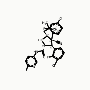 CC(C)(C)C[C@@H]1N[C@@H](C(=O)Nc2ccc(I)nc2)[C@H](c2cccc(Cl)c2F)[C@@]1(C#N)c1ccc(Cl)cc1F